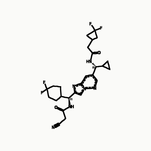 N#CCC(=O)N[C@H](c1cn2ncc([C@H](NC(=O)CC3CC(F)(F)C3)C3CC3)cc2n1)C1CCC(F)(F)CC1